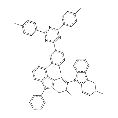 Cc1ccc(-c2nc(-c3ccc(C)cc3)nc(-c3ccc(C)c(-c4cccc5c4c4c(n5-c5ccccc5)CC(C)C(n5c6c(c7ccccc75)CC(C)C=C6)=C4)c3)n2)cc1